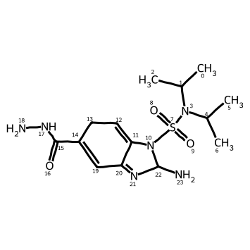 CC(C)N(C(C)C)S(=O)(=O)N1C2=CCC(C(=O)NN)=CC2=NC1N